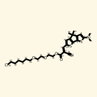 CN(C)c1cc2c(s1)-c1sc(/C=C(\C#N)C(=O)OCCOCCOCCCCCCCl)cc1C2(C)C